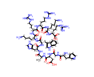 C[C@H](NC(=O)[C@H](CC(=O)O)NC(=O)CNC(=O)[C@@H](N)Cc1cccnc1)C(=O)N[C@@H](Cc1c[nH]cn1)C(=O)N[C@@H](Cc1c[nH]c2ccccc12)C(=O)N[C@@H](CCCCN)C(=O)N[C@@H](CCCNC(=N)N)C(=O)N[C@@H](CCCNC(=N)N)C(=O)N[C@@H](CCCCN)C(=O)N[C@@H](CCCNC(=N)N)C(=O)O